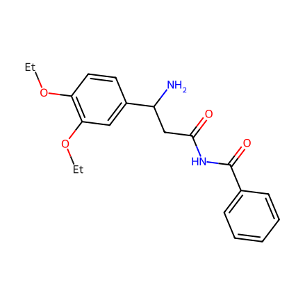 CCOc1ccc(C(N)CC(=O)NC(=O)c2ccccc2)cc1OCC